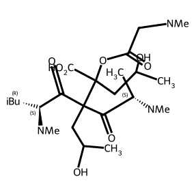 CC[C@@H](C)[C@H](NC)C(=O)C(CC(C)O)(C(=O)[C@H](C)NC)C(CC(C)O)(OC(=O)CNC)C(=O)O